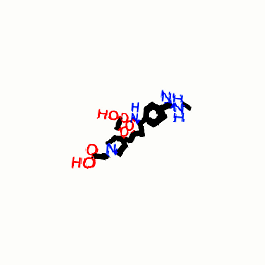 CCNC(=N)c1ccc(C2CC(CC3(OCC(=O)O)CCN(CC(=O)O)CC3)ON2)cc1